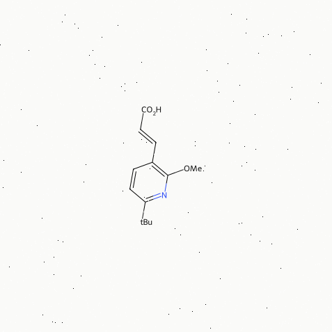 COc1nc(C(C)(C)C)ccc1C=CC(=O)O